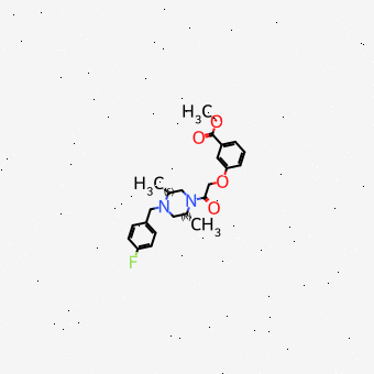 COC(=O)c1cccc(OCC(=O)N2C[C@H](C)N(Cc3ccc(F)cc3)C[C@H]2C)c1